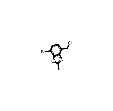 Cc1nc2c(CCl)ccc(Br)c2o1